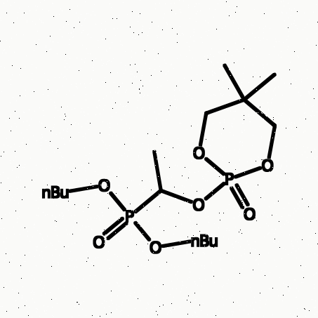 CCCCOP(=O)(OCCCC)C(C)OP1(=O)OCC(C)(C)CO1